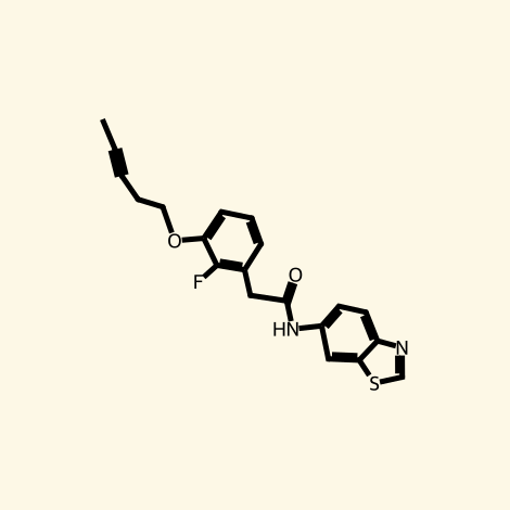 CC#CCCOc1cccc(CC(=O)Nc2ccc3ncsc3c2)c1F